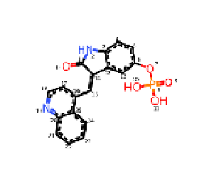 O=C1Nc2ccc(OP(=O)(O)O)cc2C1=Cc1ccnc2ccccc12